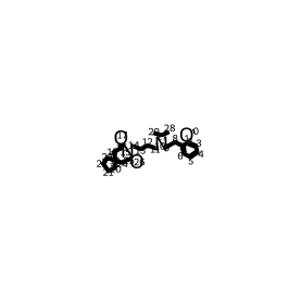 COc1ccccc1CCN(CCCCN1C(=O)CC2(CCCC2)CC1=O)C(C)C